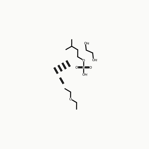 C=C.C=C.C=C.C=C.C=C.CC(C)CCOS(=O)(=O)O.CCOCC.OCCO